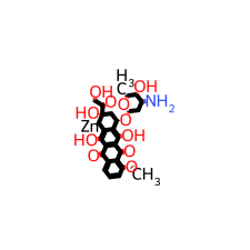 COc1cccc2c1C(=O)c1c(O)c3c(c(O)c1C2=O)C[C@@](O)(C(=O)CO)C[C@@H]3OC1CC(N)C(O)C(C)O1.[Zn]